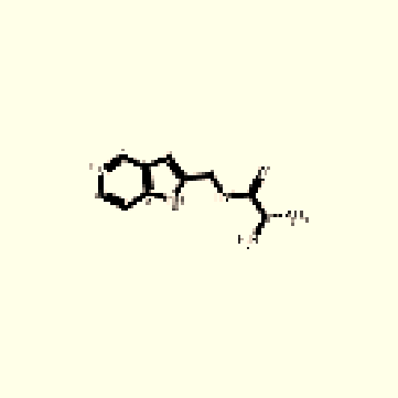 C[C@H](N)C(=O)NCc1cc2cnccc2[nH]1